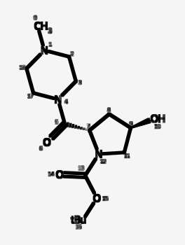 CN1CCN(C(=O)[C@@H]2C[C@@H](O)CN2C(=O)OC(C)(C)C)CC1